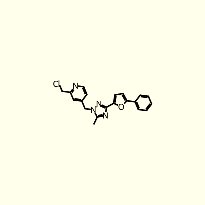 Cc1nc(-c2ccc(-c3ccccc3)o2)nn1Cc1ccnc(CCl)c1